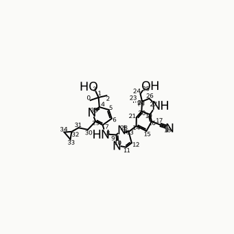 CC(C)(O)c1ccc(Nc2nccc(-c3cc(C#N)c4c(c3)[C@@](C)(CO)CN4)n2)c(CCC2CC2)n1